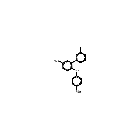 Cc1cccc(-c2cc(C(C)(C)C)ccc2Nc2ccc(C(C)(C)C)cc2)c1